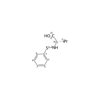 CC(C)[C@H](NSc1ccccc1)C(=O)O